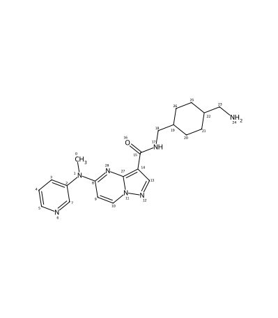 CN(c1cccnc1)c1ccn2ncc(C(=O)NCC3CCC(CN)CC3)c2n1